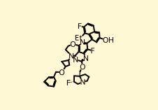 CCc1c(F)ccc2cc(O)cc(-c3nc4c5c(nc(OC[C@@]67CCCN6C[C@H](F)C7)nc5c3F)N(C3CC(OCc5ccccc5)C3)CCO4)c12